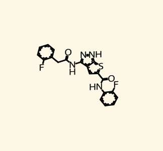 O=C(Cc1ccccc1F)Nc1n[nH]c2sc(C(=O)Nc3ccccc3F)cc12